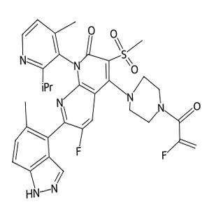 C=C(F)C(=O)N1CCN(c2c(S(C)(=O)=O)c(=O)n(-c3c(C)ccnc3C(C)C)c3nc(-c4c(C)ccc5[nH]ncc45)c(F)cc23)CC1